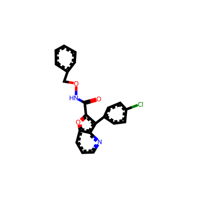 O=C(NOCc1ccccc1)c1oc2cccnc2c1-c1ccc(Cl)cc1